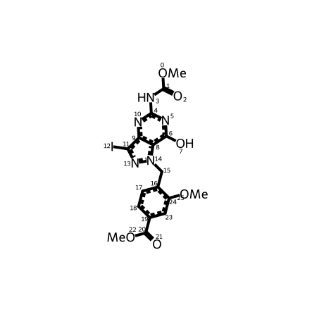 COC(=O)Nc1nc(O)c2c(n1)c(I)nn2Cc1ccc(C(=O)OC)cc1OC